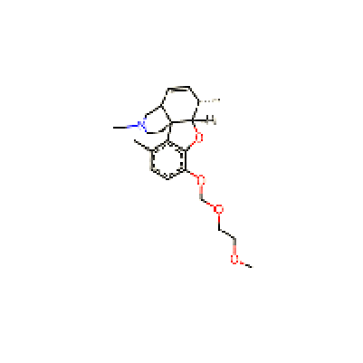 COCCOCOc1ccc(C)c2c1O[C@H]1[C@@H](C)C=CC3CN(C)CC[C@@]231